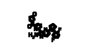 Nc1nn2ccc(N3CCCC3c3cc(F)ccc3F)nc2c1-c1nc(C(=O)N2CCC(=O)C2)cs1